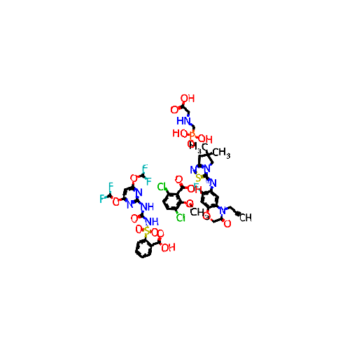 C#CCN1C(=O)COc2cc(F)c(/N=c3\snc4n3CC(C)(C)C4)cc21.COc1c(Cl)ccc(Cl)c1C(=O)O.O=C(Nc1nc(OC(F)F)cc(OC(F)F)n1)NS(=O)(=O)c1ccccc1C(=O)O.O=C(O)CNCP(=O)(O)O